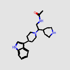 CC(=O)NCC(C1CCNCC1)N1CCC(c2c[nH]c3ccccc23)CC1